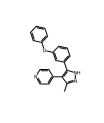 Cc1n[nH]c(-c2cccc(Oc3ccccc3)c2)c1-c1ccncc1